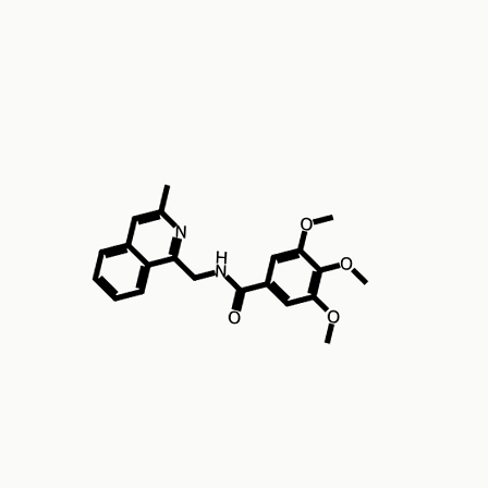 COc1cc(C(=O)NCc2nc(C)cc3ccccc23)cc(OC)c1OC